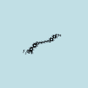 N#Cc1ccc(-c2ccc(OCCCCCCCCOc3ccc(-c4ccc(OC(F)(F)F)c(F)c4)cc3)cc2)cc1